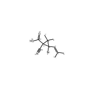 CC(C)=CC1(Br)C(C)(C)C1(C#N)C(=O)O